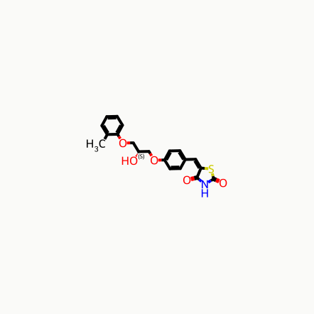 Cc1ccccc1OC[C@@H](O)COc1ccc(C=C2SC(=O)NC2=O)cc1